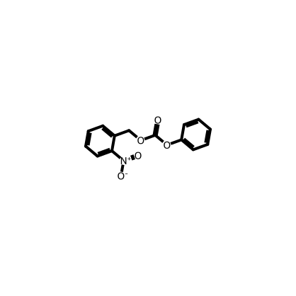 O=C(OCc1ccccc1[N+](=O)[O-])Oc1ccccc1